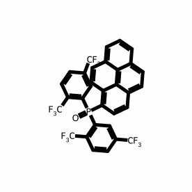 O=P(c1cc(C(F)(F)F)ccc1C(F)(F)F)(c1cc(C(F)(F)F)ccc1C(F)(F)F)c1ccc2ccc3cccc4ccc1c2c34